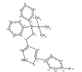 CC(C)(C)[Si](OCC1=NNCC(c2ccc(F)cc2)=C1)(c1ccccc1)c1ccccc1